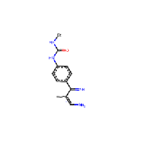 CCNC(=O)Nc1ccc(C(=N)/C(C)=C\N)cc1